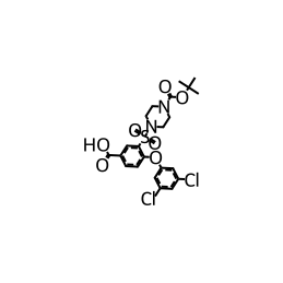 CC(C)(C)OC(=O)N1CCN(S(=O)(=O)c2cc(C(=O)O)ccc2Oc2cc(Cl)cc(Cl)c2)CC1